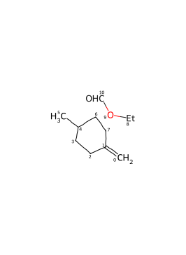 C=C1CCC(C)CC1.CCOC=O